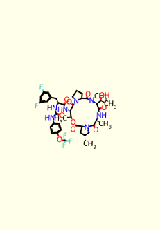 C[C@@H]1CC2C(=O)O[C@@H](C)[C@H](NC(=O)[C@H](Cc3cc(F)cc(F)c3)NC(=O)Nc3ccc(OC(F)(F)F)cc3)C(=O)N3CCCC3C(=O)N(C)[C@@H]([C@H](C)O)C(=O)N[C@@H](C)C(=O)N2C1